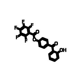 O=C(c1ccc(OC(=O)c2c(F)c(F)c(F)c(F)c2F)cc1)c1ccccc1O